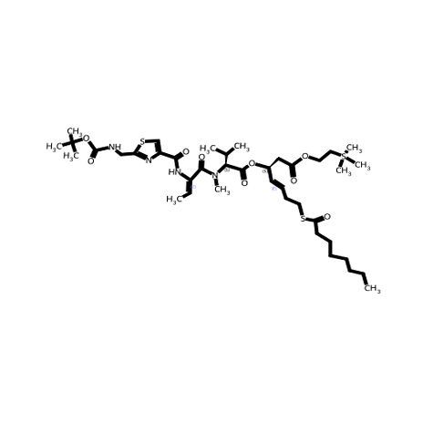 C/C=C(\NC(=O)c1csc(CNC(=O)OC(C)(C)C)n1)C(=O)N(C)[C@H](C(=O)O[C@H](/C=C/CCSC(=O)CCCCCCC)CC(=O)OCCS(C)(C)C)C(C)C